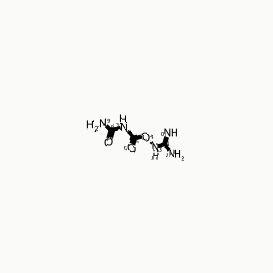 N=C(N)NOC(=O)NC(N)=O